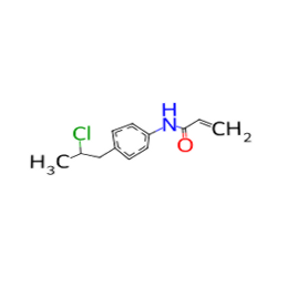 C=CC(=O)Nc1ccc(CC(C)Cl)cc1